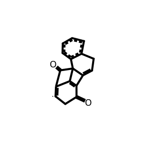 O=C1C[C]=C2C(=O)C34C(=CCc5ccccc53)C1=C24